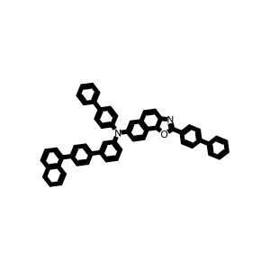 C1=Cc2c(cccc2-c2ccc(-c3cccc(N(c4ccc(-c5ccccc5)cc4)c4ccc5c(c4)C=CC4N=C(c6ccc(-c7ccccc7)cc6)OC54)c3)cc2)CC1